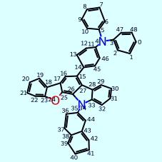 c1ccc(N(c2ccccc2)c2ccc(-c3cc4c5ccccc5oc4c4c3c3ccccc3n4-c3ccc4ccccc4c3)cc2)cc1